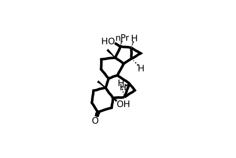 CCC[C@]1(O)[C@H]2C[C@H]2C2C3C(CC[C@@]21C)[C@@]1(C)CCC(=O)C[C@@]1(O)[C@@H]1C[C@H]31